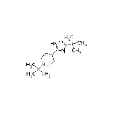 CC(C)(C)c1c[nH]c(C2CCN(C(C)(C)C)CC2)n1